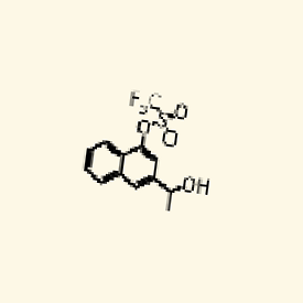 CC(O)c1cc(OS(=O)(=O)C(F)(F)F)c2ccccc2c1